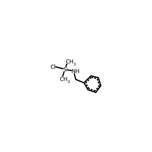 C[Si](C)(Cl)NCc1ccccc1